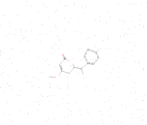 COC1=CC(=O)OC(C(C)c2ccc(Cl)cc2)C1